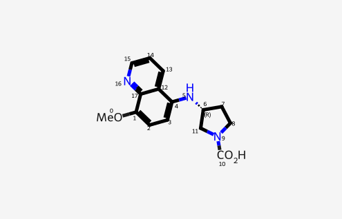 COc1ccc(N[C@@H]2CCN(C(=O)O)C2)c2cccnc12